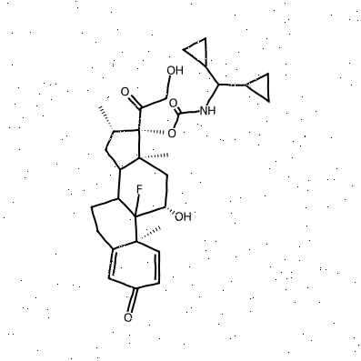 C[C@H]1CC2C3CCC4=CC(=O)C=C[C@]4(C)C3(F)[C@@H](O)C[C@]2(C)[C@]1(OC(=O)NC(C1CC1)C1CC1)C(=O)CO